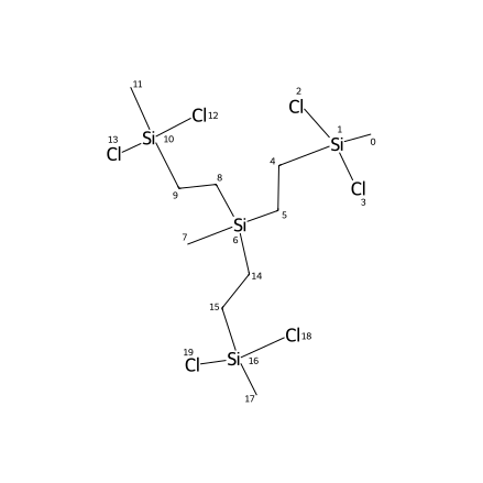 C[Si](Cl)(Cl)CC[Si](C)(CC[Si](C)(Cl)Cl)CC[Si](C)(Cl)Cl